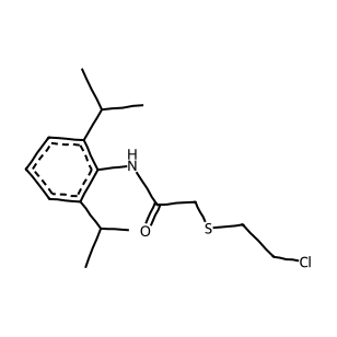 CC(C)c1cccc(C(C)C)c1NC(=O)CSCCCl